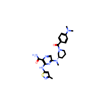 Cc1cc(Nc2nc(N(C)[C@H]3CCCN(C(=O)c4ccc(N(C)C)cc4)C3)cnc2C(N)=O)sn1